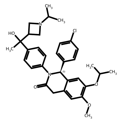 COc1cc2c(cc1OC(C)C)[C@H](c1ccc(Cl)cc1)N(c1ccc(C(C)(O)C3CN(C(C)C)C3)cc1)C(=O)C2